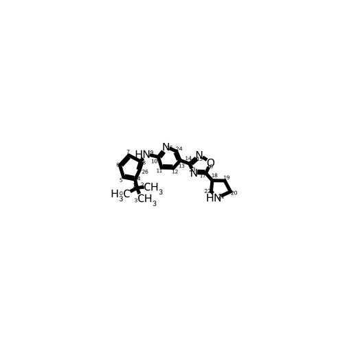 CC(C)(C)c1cccc(Nc2ccc(-c3noc(C4CCNC4)n3)cn2)c1